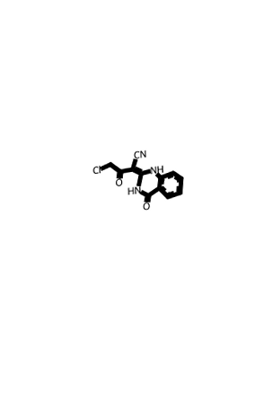 N#CC(C(=O)CCl)=C1NC(=O)c2ccccc2N1